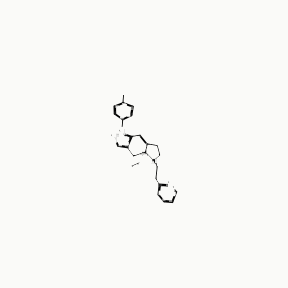 CC[C@]12Cc3cnn(-c4ccc(F)cc4)c3C=C1CC[C@@]2(O)CCc1ccccn1